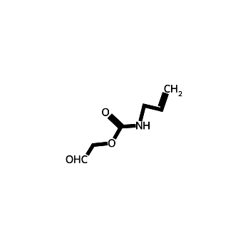 C=CCNC(=O)OCC=O